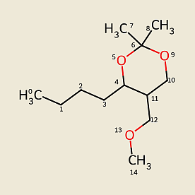 CCCCC1OC(C)(C)OCC1COC